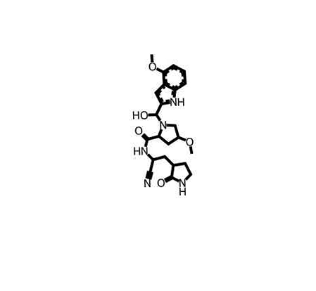 COc1cccc2[nH]c(C(O)N3CC(OC)CC3C(=O)NC(C#N)CC3CCNC3=O)cc12